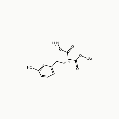 CC(C)(C)OC(=O)[C@H](CCc1cccc(O)c1)C(=O)ON